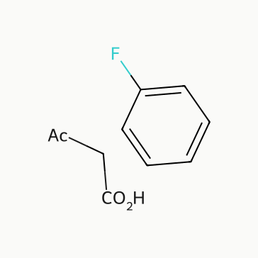 CC(=O)CC(=O)O.Fc1ccccc1